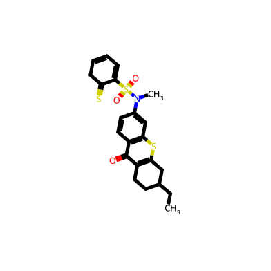 CCC1CCc2c(sc3cc(N(C)S(=O)(=O)C4=CC=CCC4=S)ccc3c2=O)C1